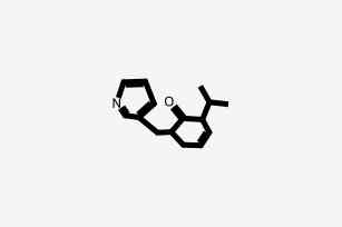 CC(C)C1C=CCC(Cc2cccnc2)C1=O